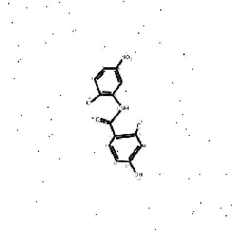 O=C(Nc1cc([N+](=O)[O-])ccc1Cl)c1ccc(O)cc1Cl